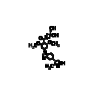 C#CC1(O)CN(C(=O)c2c(OC)cc(-n3cnc4cc(-c5c[nH]nc5C)ccc43)cc2OC)C1